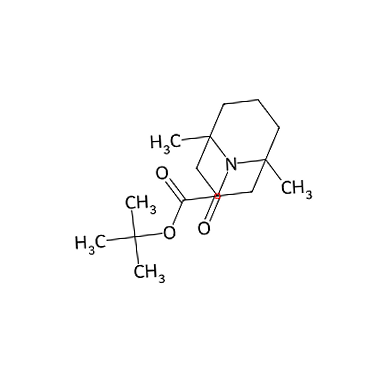 CC(C)(C)OC(=O)CN1C2(C)CCCC1(C)CC(=O)C2